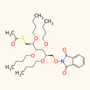 CCCCO[C@@H]([C@H](OCCCC)[C@@H](CSC(C)=O)OCCCC)[C@@H](CON1C(=O)c2ccccc2C1=O)OCCCC